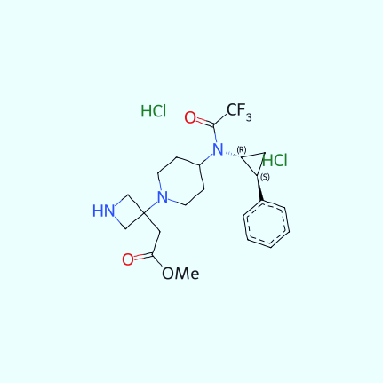 COC(=O)CC1(N2CCC(N(C(=O)C(F)(F)F)[C@@H]3C[C@H]3c3ccccc3)CC2)CNC1.Cl.Cl